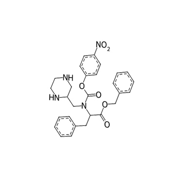 O=C(OCc1ccccc1)C(Cc1ccccc1)N(CC1CNCCN1)C(=O)Oc1ccc([N+](=O)[O-])cc1